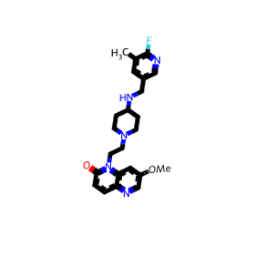 COc1cnc2ccc(=O)n(CCN3CCC(NCc4cnc(F)c(C)c4)CC3)c2c1